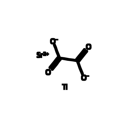 O=C([O-])C(=O)[O-].[Sr+2].[Ti]